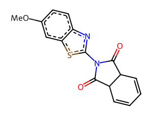 COc1ccc2nc(N3C(=O)C4C=CC=CC4C3=O)sc2c1